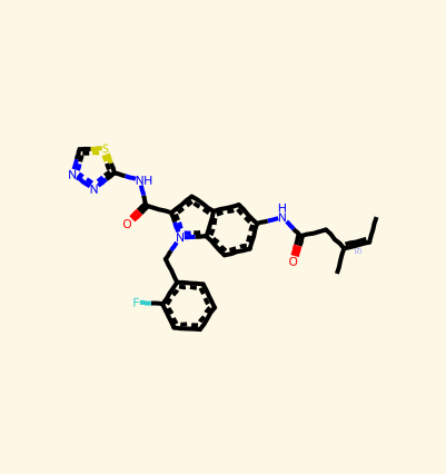 C/C=C(/C)CC(=O)Nc1ccc2c(c1)cc(C(=O)Nc1nncs1)n2Cc1ccccc1F